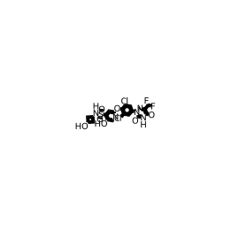 O=c1[nH]c(=O)n(-c2cc(Cl)c(Oc3cc(S(=O)(=O)NC4CC(O)C4)c(O)cn3)c(Cl)c2)nc1C(F)F